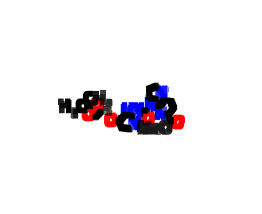 COC(=O)c1ccc2c(n1)N(C(=O)Nc1cc(OC[C@@H]3COC(C)(C)O3)ccn1)C1CCN2C1